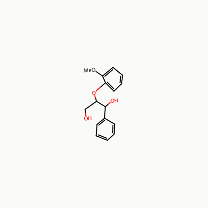 COc1ccccc1OC(CO)C(O)c1ccccc1